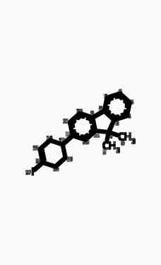 CC1(C)c2ccccc2-c2ccc(C3CC=C(I)CC3)cc21